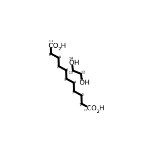 O=C(O)CCCCCCCCCC(=O)O.OCCO